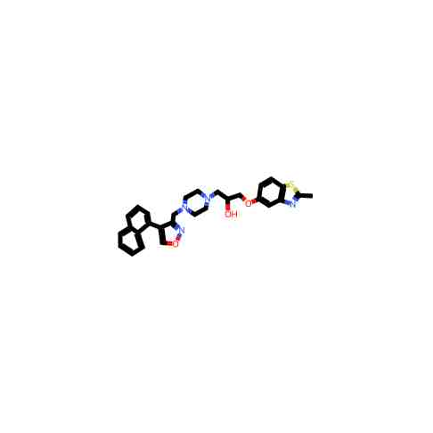 Cc1nc2cc(OCC(O)CN3CCN(Cc4nocc4-c4cccc5ccccc45)CC3)ccc2s1